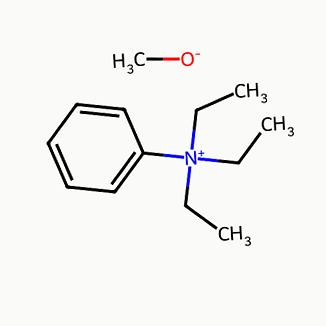 CC[N+](CC)(CC)c1ccccc1.C[O-]